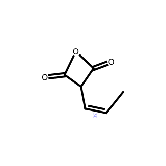 C/C=C\C1C(=O)OC1=O